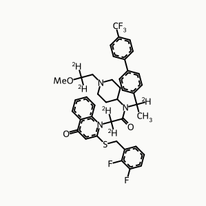 [2H]C([2H])(CN1CCC(N(C(=O)C([2H])([2H])n2c(SCc3cccc(F)c3F)cc(=O)c3ccccc32)C([2H])(C)c2ccc(-c3ccc(C(F)(F)F)cc3)cc2)CC1)OC